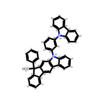 CC1(c2ccccc2)c2ccccc2-c2cc3c4ccccc4n(-c4cccc(-n5c6ccccc6c6ccccc65)c4)c3cc21